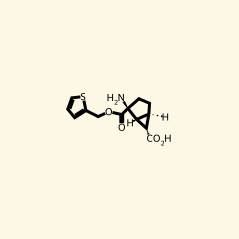 N[C@@]1(C(=O)OCc2cccs2)CC[C@H]2[C@H](C(=O)O)[C@H]21